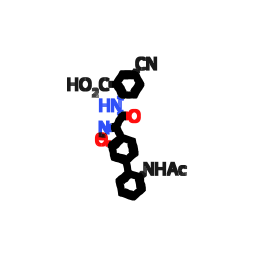 CC(=O)Nc1ccccc1-c1ccc2c(C(=O)Nc3ccc(C#N)cc3C(=O)O)noc2c1